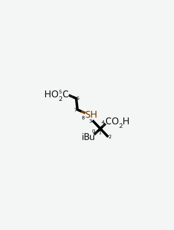 CCC(C)C(C)(C)C(=O)O.O=C(O)CCS